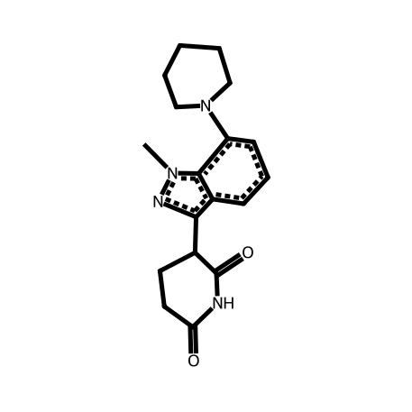 Cn1nc(C2CCC(=O)NC2=O)c2cccc(N3CCCCC3)c21